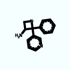 NC1C[N]C1(c1ccccc1)c1cccnc1